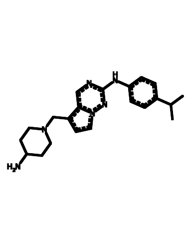 CC(C)c1ccc(Nc2ncc3c(CN4CCC(N)CC4)ccn3n2)cc1